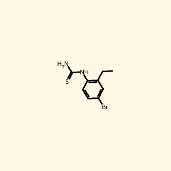 CCc1cc(Br)ccc1NC(N)=S